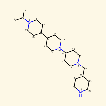 CC(C)N1CCC(C2CCN(C3CCN(CC4CCNCC4)CC3)CC2)CC1